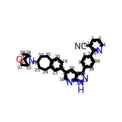 N#Cc1cccnc1-c1ccc(-c2n[nH]c3ncc(-c4ccc5c(c4)CC[C@@H](N4C6COCC4C6)CC5)cc23)cc1